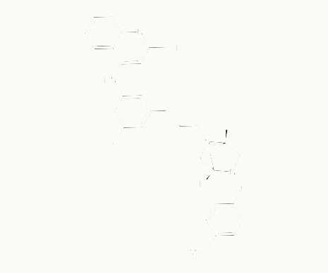 COc1ccc(CN2C[C@@H]3C[C@H]2CN3CCOc2cc(Nc3cc(C)nc4ccccc34)cc(C(F)(F)F)c2)cc1